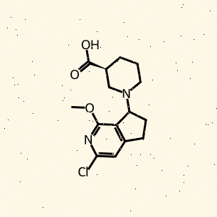 COc1nc(Cl)cc2c1C(N1CCC[C@H](C(=O)O)C1)CC2